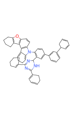 C1=CCCC(C2=NC(C3=CCCCC3)=NC(c3cc(-c4cccc(C5C=CC=CC5)c4)ccc3-n3c4c(c5c6c7c(oc6ccc53)CCCC7)=CCCC=4)N2)=C1